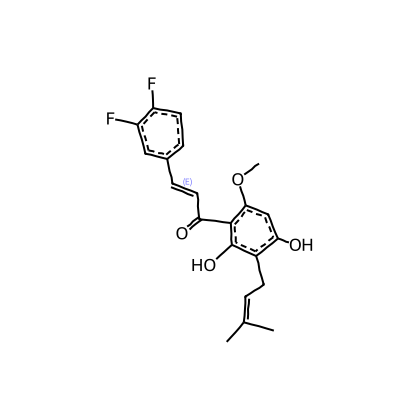 COc1cc(O)c(CC=C(C)C)c(O)c1C(=O)/C=C/c1ccc(F)c(F)c1